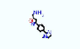 CN1CCN=C1c1ccc(C2=NOC(CN)C2)cc1